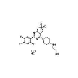 Cl.Cl.O=S1(=O)Cc2nc(-c3cc(F)c(Cl)cc3F)nc(N3CCC(NCCO)CC3)c2C1